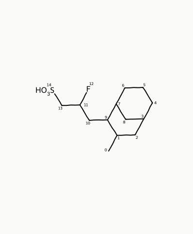 CC1CC2CCCC(C2)C1CC(F)CS(=O)(=O)O